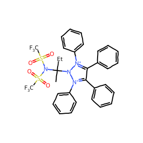 CCC(C)(N(S(=O)(=O)C(F)(F)F)S(=O)(=O)C(F)(F)F)n1[n+](-c2ccccc2)c(-c2ccccc2)c(-c2ccccc2)[n+]1-c1ccccc1